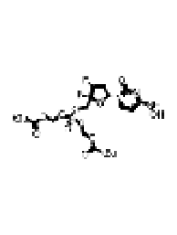 CC(C)(C)C(=O)OCOP(=O)(OCOC(=O)C(C)(C)C)OC[C@@]1(F)O[C@@H](n2ccc(NO)nc2=O)C[C@@H]1F